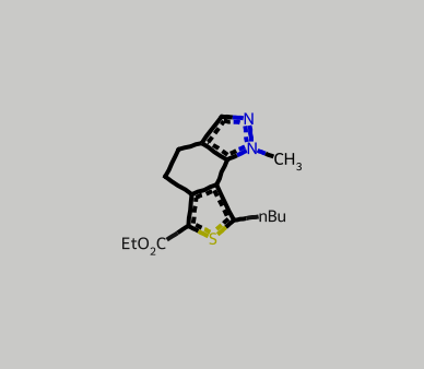 CCCCc1sc(C(=O)OCC)c2c1-c1c(cnn1C)CC2